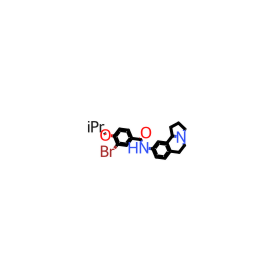 CC(C)Oc1ccc(C(=O)Nc2ccc3c(c2)C2CCCN2CC3)cc1Br